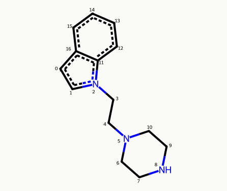 [c]1cn(CCN2CCNCC2)c2ccccc12